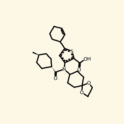 C[C@H]1CC[C@H](C(=O)N(c2cc(C3C=CCCC3)sc2C(=O)O)C2CCC3(CC2)OCCO3)CC1